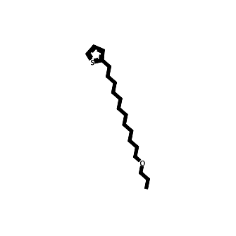 CCCOCCCCCCCCCCCCc1cccs1